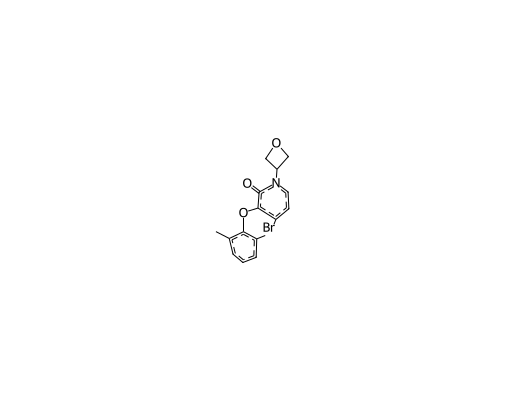 Cc1cccc(C)c1Oc1c(Br)ccn(C2COC2)c1=O